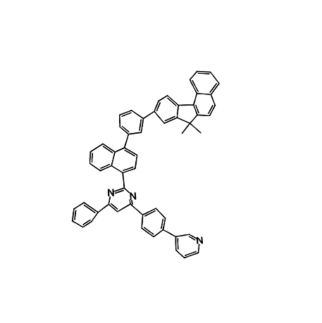 CC1(C)c2cc(-c3cccc(-c4ccc(-c5nc(-c6ccccc6)cc(-c6ccc(-c7cccnc7)cc6)n5)c5ccccc45)c3)ccc2-c2c1ccc1ccccc21